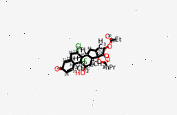 CCCC(=O)O[C@]1(C(=O)COC(=O)CC)C(C)C[C@H]2[C@@H]3C(Cl)CC4=CC(=O)C=C[C@]4(C)[C@@]3(F)C(O)C[C@@]21C